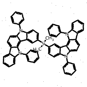 C[Si](C)(c1ccc2c(c1)c1c(ccc3c4ccccc4n(-c4ccccc4)c31)n2-c1ccccc1)c1ccc2c(c1)c1c(ccc3c4ccccc4n(-c4ccccc4)c31)n2-c1ccccc1